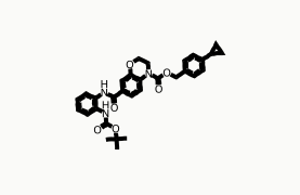 CC(C)(C)OC(=O)Nc1ccccc1NC(=O)c1ccc2c(c1)OCCN2C(=O)OCc1ccc(C2CC2)cc1